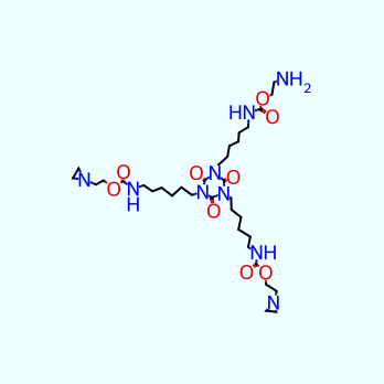 NCCOC(=O)NCCCCCCn1c(=O)n(CCCCCCNC(=O)OCCN2CC2)c(=O)n(CCCCCCNC(=O)OCCN2CC2)c1=O